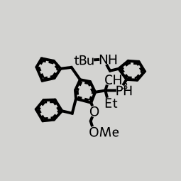 CCC(C)(Pc1ccccc1CNC(C)(C)C)c1cc(Cc2ccccc2)cc(Cc2ccccc2)c1OCOC